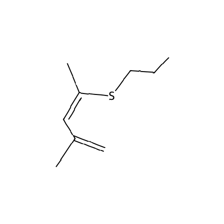 C=C(C)/C=C(/C)SCCC